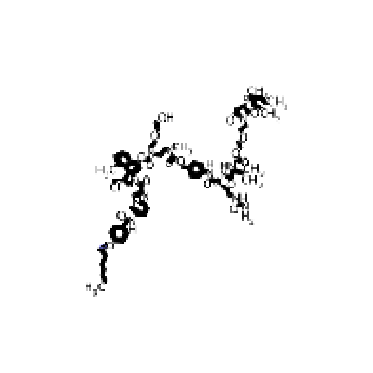 CCCCCC/C=C\Oc1ccc(C(=O)Nc2ccc3nc(C(=O)N4C[C@@H](CCl)c5c4cc(OC(=O)N(CCOCCO)CCN(C)C(=O)OCc4ccc(NC(=O)[C@H](CCCNC(N)=O)NC(=O)[C@@H](NC(=O)OCCOCCN6C(=O)CC(SC(C)(CCC)CCC)C6=O)C(C)C)cc4)c4cccc(C)c54)cn3c2)cc1